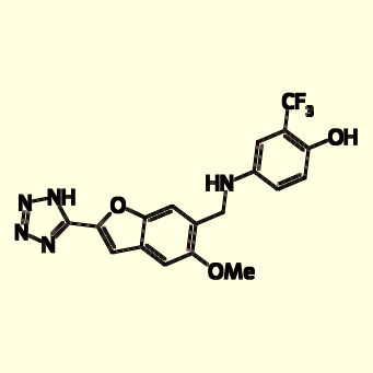 COc1cc2cc(-c3nnn[nH]3)oc2cc1CNc1ccc(O)c(C(F)(F)F)c1